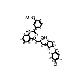 COc1cccc(C(=O)Nc2ccccc2OCC(O)CN2CCC(Oc3ccc(Cl)cc3)C2)c1